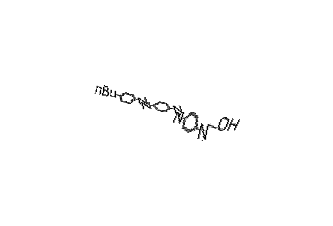 CCCCc1ccc(N=Nc2ccc(N=Nc3ccc(N(C)CCO)cc3)cc2)cc1